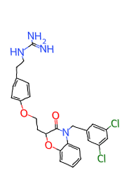 N=C(N)NCCc1ccc(OCCC2Oc3ccccc3N(Cc3cc(Cl)cc(Cl)c3)C2=O)cc1